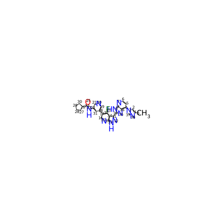 Cc1cn(-c2ccnc3[nH]c(-c4n[nH]c5ncc(-c6cncc(NC(=O)C7CCCC7)c6)c(F)c45)nc23)cn1